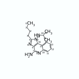 CCCCc1nc2c(N)nc3ccccc3c2n1NC(C)C